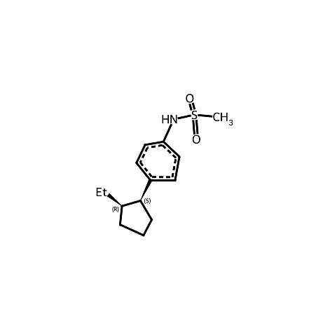 CC[C@@H]1CCC[C@@H]1c1ccc(NS(C)(=O)=O)cc1